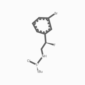 CC(C)(C)[S@+]([O-])NC[C@H](F)c1cccc(Br)c1